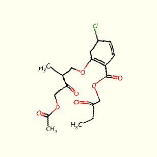 CCC(=O)COC(=O)C1=C(OCC(C)C(=O)COC(C)=O)CC(Cl)C=C1